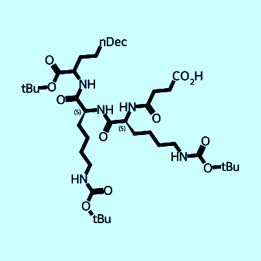 CCCCCCCCCCCCC(NC(=O)[C@H](CCCCNC(=O)OC(C)(C)C)NC(=O)[C@H](CCCCNC(=O)OC(C)(C)C)NC(=O)CCC(=O)O)C(=O)OC(C)(C)C